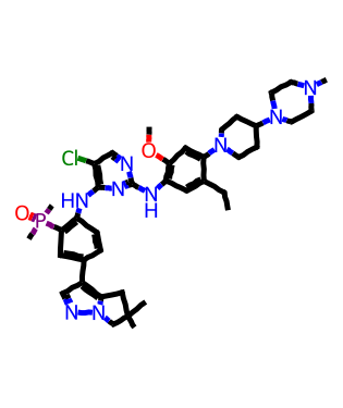 CCc1cc(Nc2ncc(Cl)c(Nc3ccc(-c4cnn5c4CC(C)(C)C5)cc3P(C)(C)=O)n2)c(OC)cc1N1CCC(N2CCN(C)CC2)CC1